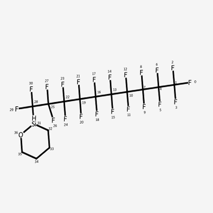 FC(F)(F)C(F)(F)C(F)(F)C(F)(F)C(F)(F)C(F)(F)C(F)(F)C(F)(F)C(F)(F)C(F)(F)[SiH]1CCCCO1